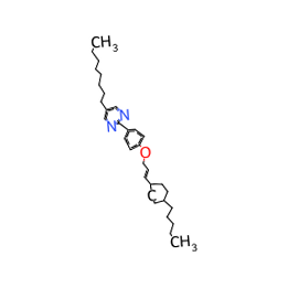 CCCCCCCCc1cnc(-c2ccc(OCC=CC3CCC(CCCCC)CC3)cc2)nc1